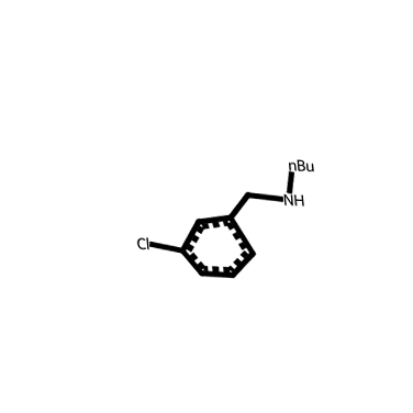 CCCCNCc1cccc(Cl)c1